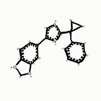 c1ccc(C2(c3nc(-c4ccc5c(c4)OCO5)cs3)CC2)cc1